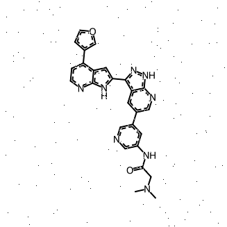 CN(C)CC(=O)Nc1cncc(-c2cnc3[nH]nc(-c4cc5c(-c6ccoc6)ccnc5[nH]4)c3c2)c1